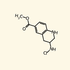 COC(=O)c1ccc2c(c1)CC(NCl)CN2